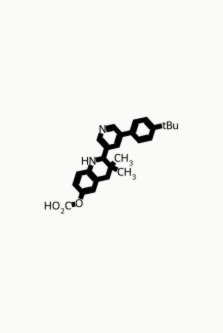 CC(C)(C)c1ccc(-c2cncc(C3Nc4ccc(OC(=O)O)cc4CC3(C)C)c2)cc1